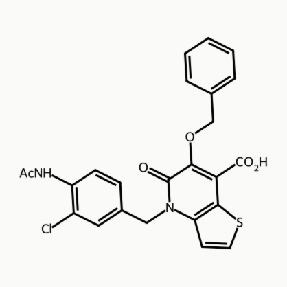 CC(=O)Nc1ccc(Cn2c(=O)c(OCc3ccccc3)c(C(=O)O)c3sccc32)cc1Cl